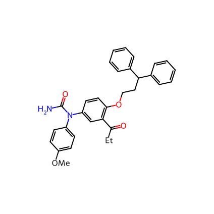 CCC(=O)c1cc(N(C(N)=O)c2ccc(OC)cc2)ccc1OCCC(c1ccccc1)c1ccccc1